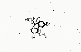 C[C@H]1NCCN2C(=O)c3c(cc(Br)cc3C(F)(F)F)[C@@H]12.Cl